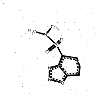 CN(C)S(=O)(=O)c1cccc2onnc12